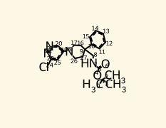 CC(C)(C)OC(=O)NCC1(c2ccccc2)CCN(c2cnnc(Cl)c2)CC1